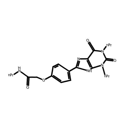 CCCNC(=O)COc1ccc(-c2nc3c(=O)n(CCC)c(=O)n(CCC)c3[nH]2)cc1